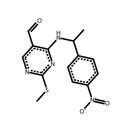 CSc1ncc(C=O)c(NC(C)c2ccc([N+](=O)[O-])cc2)n1